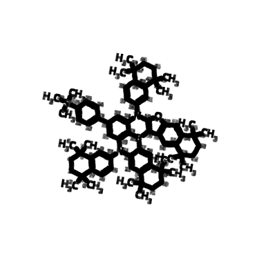 CC1(C)CCC(C)(C)c2cc(N3c4cc5c(cc4B4c6c3cc(-c3ccc([Si](C)(C)C)cc3)cc6N(c3ccc6c(c3)C(C)(C)CCC6(C)C)c3oc6cc7c(cc6c34)C(C)(C)CCC7(C)C)C(C)(C)CCC5(C)C)ccc21